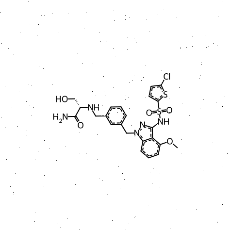 COc1cccc2c1c(NS(=O)(=O)c1ccc(Cl)s1)nn2Cc1cccc(CN[C@@H](CO)C(N)=O)c1